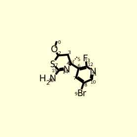 COC1C[C@@](C)(c2cc(Br)cnc2F)N=C(N)S1